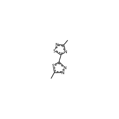 Cc1nsc(-c2nnc(C)s2)n1